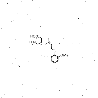 COc1ccccc1OCC[C@@H](C)C[C@H](CN)CC(=O)O